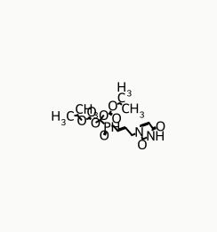 CC(C)OC(=O)OC(OC(=O)OC(C)C)[PH](=O)CC=CCn1ccc(=O)[nH]c1=O